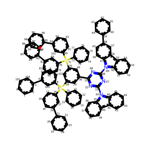 c1ccc(-c2cccc(S(c3ccccc3)(c3cccc(-c4ccccc4)c3)c3cc(-c4nc(-n5c6ccccc6c6ccccc65)nc(-n5c6ccccc6c6cc(-c7ccccc7)ccc65)n4)cc(S(c4ccccc4)(c4cccc(-c5ccccc5)c4)c4cccc(-c5ccccc5)c4)c3)c2)cc1